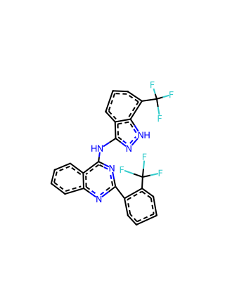 FC(F)(F)c1ccccc1-c1nc(Nc2n[nH]c3c(C(F)(F)F)cccc23)c2ccccc2n1